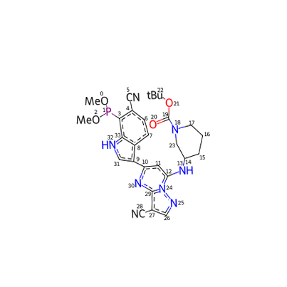 COP(OC)c1c(C#N)ccc2c(-c3cc(NC4CCCN(C(=O)OC(C)(C)C)C4)n4ncc(C#N)c4n3)c[nH]c12